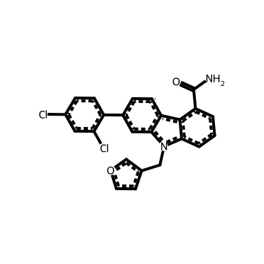 NC(=O)c1cccc2c1c1[c]cc(-c3ccc(Cl)cc3Cl)cc1n2Cc1ccoc1